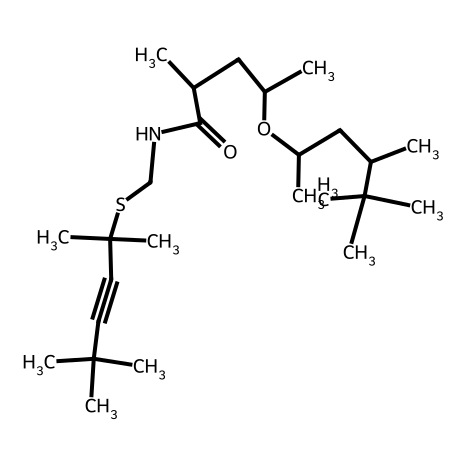 CC(CC(C)C(=O)NCSC(C)(C)C#CC(C)(C)C)OC(C)CC(C)C(C)(C)C